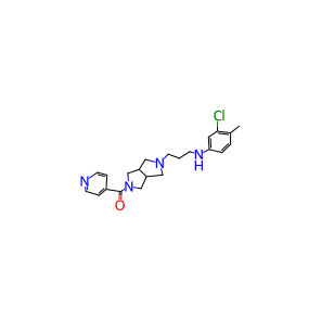 Cc1ccc(NCCCN2CC3CN(C(=O)c4ccncc4)CC3C2)cc1Cl